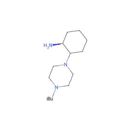 CCC(C)N1CCN(C2CCCC[C@@H]2N)CC1